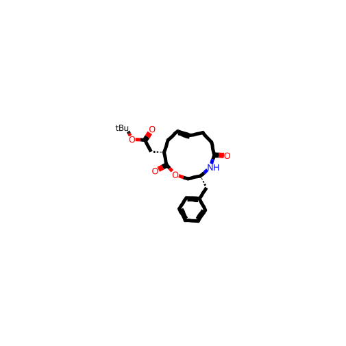 CC(C)(C)OC(=O)C[C@@H]1C/C=C/CCC(=O)N[C@H](Cc2ccccc2)COC1=O